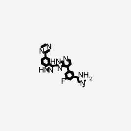 CN(C)CC(N)c1cc(F)cc(-c2ccnc3[nH]c(-c4n[nH]c5ccc(-c6cnccn6)cc45)nc23)c1